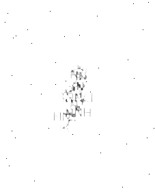 Clc1cc(Nc2cc(C3CC3)[nH]n2)nc(N2CCC[C@H]2c2cc(-c3ncccn3)no2)n1